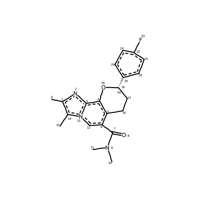 Cc1nc2c3c(c(C(=O)N(C)C)cn2c1C)CC[C@@H](c1ccc(F)cc1)O3